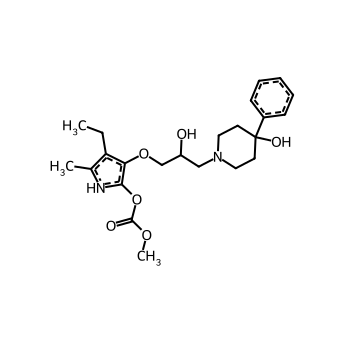 CCc1c(C)[nH]c(OC(=O)OC)c1OCC(O)CN1CCC(O)(c2ccccc2)CC1